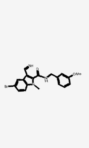 COc1cccc(CNC(=O)c2c(C=N)c3cc(Br)ccc3n2C)c1